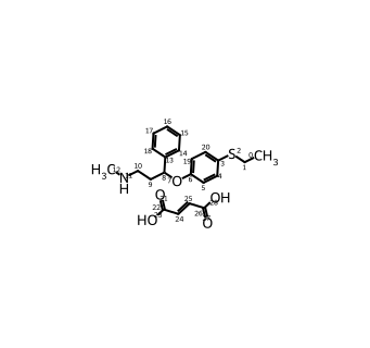 CCSc1ccc(OC(CCNC)c2ccccc2)cc1.O=C(O)C=CC(=O)O